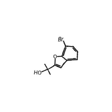 CC(C)(O)c1cc2cccc(Br)c2o1